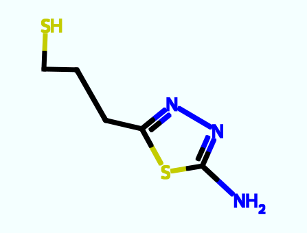 Nc1nnc(CCCS)s1